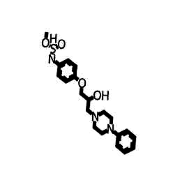 CO[SH](=O)=Nc1ccc(OCC(O)CN2CCN(c3ccccc3)CC2)cc1